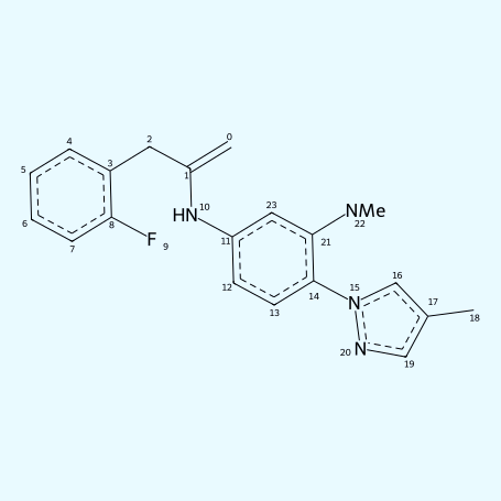 C=C(Cc1ccccc1F)Nc1ccc(-n2cc(C)cn2)c(NC)c1